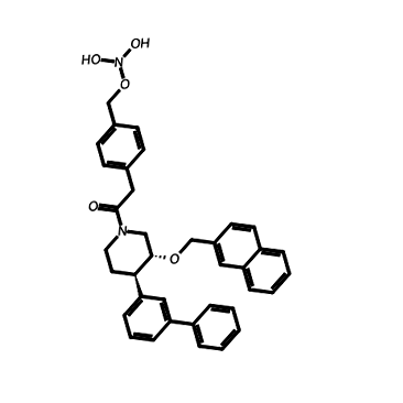 O=C(Cc1ccc(CON(O)O)cc1)N1CC[C@H](c2cccc(-c3ccccc3)c2)[C@@H](OCc2ccc3ccccc3c2)C1